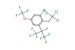 FC(F)(F)Oc1[c]c(Br)c(CC(Cl)(Cl)Cl)c(C(F)(C(F)(F)F)C(F)(F)F)c1